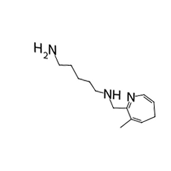 CC1=CCC=CN=C1CNCCCCCN